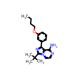 CCCCOc1cccc(-c2nc(C(C)(C)C)n3ccnc(N)c23)c1